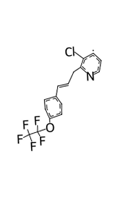 FC(F)(F)C(F)(F)Oc1ccc(C=CCc2ncc[c]c2Cl)cc1